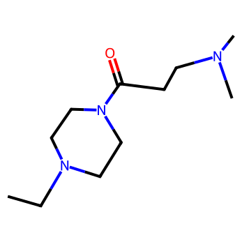 CCN1CCN(C(=O)CCN(C)C)CC1